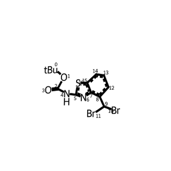 CC(C)(C)OC(=O)Nc1nc2c(C(Br)Br)cccc2s1